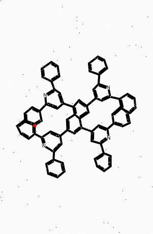 c1ccc(-c2cc(-c3cc(-c4cc(-c5ccccc5)nc(-c5ccccc5)c4)c4cc(-c5cc(-c6ccccc6)nc(-c6ccccc6)c5)cc(-c5cc(-c6ccccc6)nc(-c6ccccc6)c5)c4c3)cc(-c3ccccc3)n2)cc1